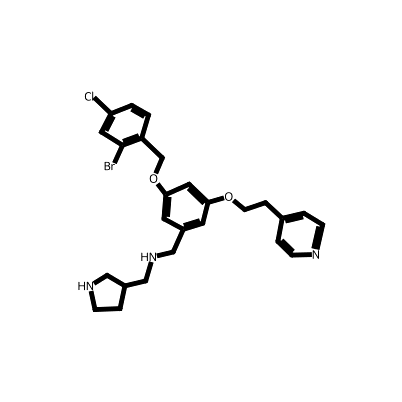 Clc1ccc(COc2cc(CNCC3CCNC3)cc(OCCc3ccncc3)c2)c(Br)c1